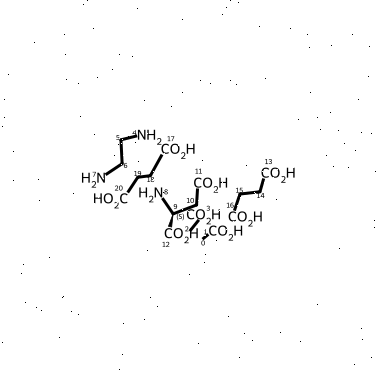 CC(=O)O.CC(=O)O.NCCN.N[C@@H](CC(=O)O)C(=O)O.O=C(O)CCC(=O)O.O=C(O)CCC(=O)O